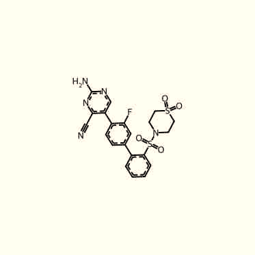 N#Cc1nc(N)ncc1-c1ccc(-c2ccccc2S(=O)(=O)N2CCS(=O)(=O)CC2)cc1F